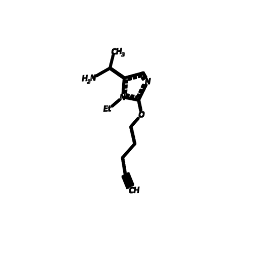 C#CCCCOc1ncc(C(C)N)n1CC